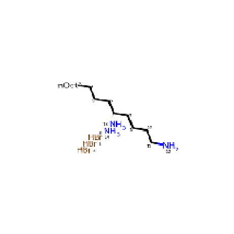 Br.Br.Br.CCCCCCCCCCCCCCCCN.N.N